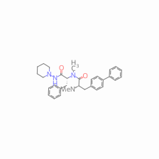 CN[C@H](Cc1ccc(-c2ccccc2)cc1)C(=O)N(C)[C@H](Cc1ccccc1)C(=O)NN1CCCCC1